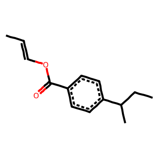 C/C=C/OC(=O)c1ccc(C(C)CC)cc1